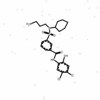 NCCCN(C1CCCCC1)S(=O)(=O)c1cccc(C(=O)Nc2cc(Cl)c(Cl)cc2O)c1